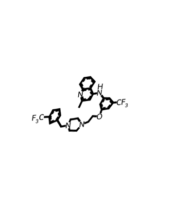 Cc1cc(Nc2cc(OCCN3CCN(Cc4cccc(C(F)(F)F)c4)CC3)cc(C(F)(F)F)c2)c2ccccc2n1